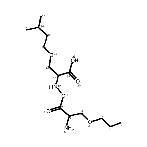 CCCOCC(N)C(=O)ONC(COCCC(C)C)C(=O)O